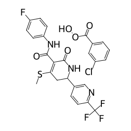 CSC1=C(C(=O)Nc2ccc(F)cc2)C(=O)NC(c2ccc(C(F)(F)F)nc2)C1.O=C(OO)c1cccc(Cl)c1